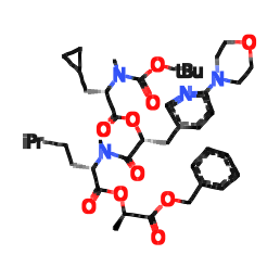 CC(C)CC[C@@H](C(=O)O[C@H](C)C(=O)OCc1ccccc1)N(C)C(=O)[C@@H](Cc1ccc(N2CCOCC2)nc1)OC(=O)[C@H](CC1CC1)N(C)C(=O)OC(C)(C)C